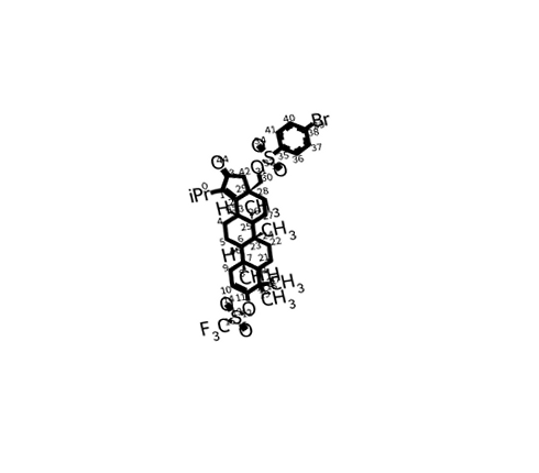 CC(C)C1=C2[C@H]3CC[C@@H]4[C@@]5(C)CC=C(OS(=O)(=O)C(F)(F)F)C(C)(C)[C@@H]5CC[C@@]4(C)[C@]3(C)CC[C@@]2(COS(=O)(=O)c2ccc(Br)cc2)CC1=O